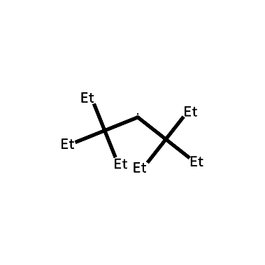 CCC([CH]C(CC)(CC)CC)(CC)CC